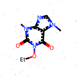 CCOn1c(=O)c2c(ncn2C)n(C)c1=O